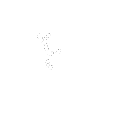 c1ccc(-c2nc(-c3ccc4c(c3)oc3c4ccc4c3c3ccccc3n4-c3ccccc3)nc(-c3ccc4sc5ccccc5c4c3)n2)cc1